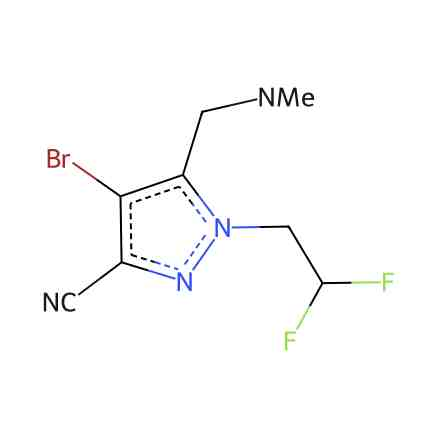 CNCc1c(Br)c(C#N)nn1CC(F)F